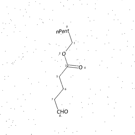 CCCCCCOC(=O)CCCC=O